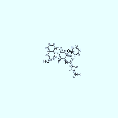 CN(C)C1CN(c2nc(P3(=O)C=CN=CC3)c3cc(Cl)c(-c4cc(O)cc5ccccc45)c(F)c3n2)C1